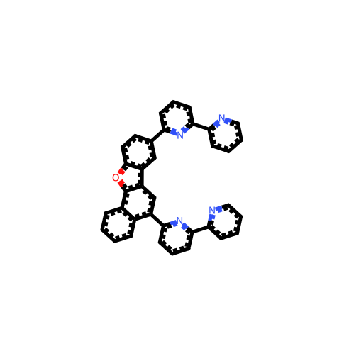 c1ccc(-c2cccc(-c3ccc4oc5c6ccccc6c(-c6cccc(-c7ccccn7)n6)cc5c4c3)n2)nc1